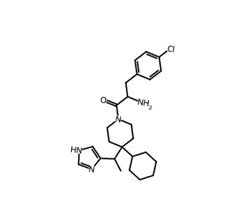 CC(c1c[nH]cn1)C1(C2CCCCC2)CCN(C(=O)C(N)Cc2ccc(Cl)cc2)CC1